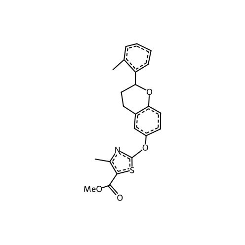 COC(=O)c1sc(Oc2ccc3c(c2)CCC(c2ccccc2C)O3)nc1C